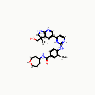 COc1cc(C(=O)NC2CCCOCC2)ccc1Nc1nccc(-c2cnc3c(c2)C(C)(CO)CN3)n1